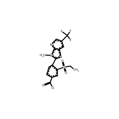 CCS(=O)(=O)c1cc(C(=O)Cl)ccc1-c1nc2cc(C(F)(F)F)cnc2n1C